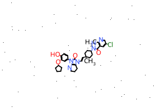 Cc1ncc(Cl)cc1C(=O)N[C@H]1CC[C@@](C)(/C=C/n2c3c(n(-c4ccc(O)c(OC5CCCC5)c4)c2=O)N=CCC3)CC1